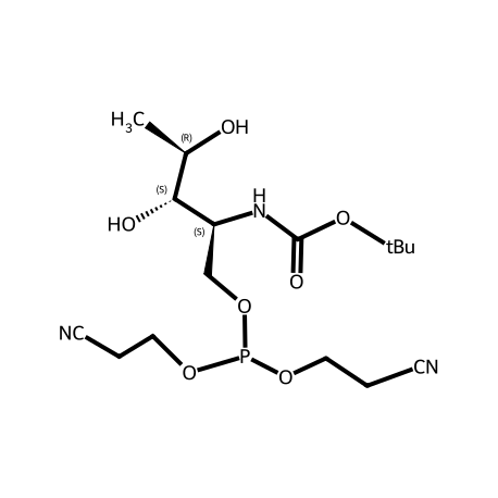 C[C@@H](O)[C@@H](O)[C@H](COP(OCCC#N)OCCC#N)NC(=O)OC(C)(C)C